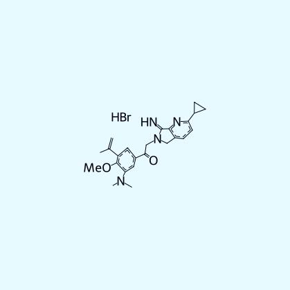 Br.C=C(C)c1cc(C(=O)CN2Cc3ccc(C4CC4)nc3C2=N)cc(N(C)C)c1OC